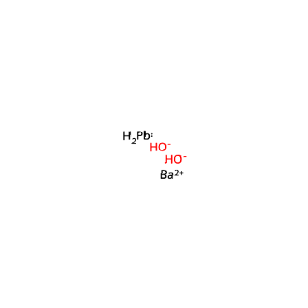 [Ba+2].[OH-].[OH-].[PbH2]